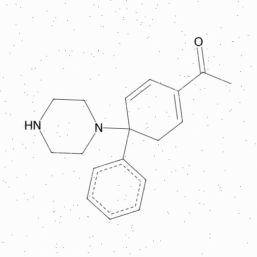 CC(=O)C1=CCC(c2ccccc2)(N2CCNCC2)C=C1